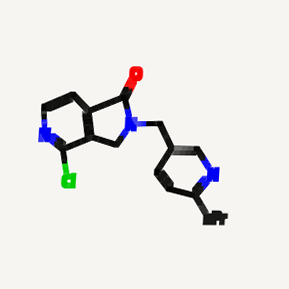 CCCc1ccc(CN2Cc3c(ccnc3Cl)C2=O)cn1